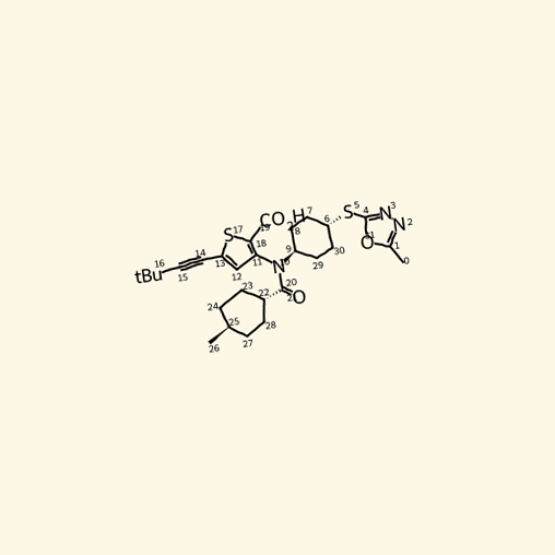 Cc1nnc(S[C@H]2CC[C@H](N(c3cc(C#CC(C)(C)C)sc3C(=O)O)C(=O)[C@H]3CC[C@H](C)CC3)CC2)o1